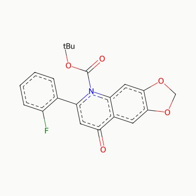 CC(C)(C)OC(=O)n1c(-c2ccccc2F)cc(=O)c2cc3c(cc21)OCO3